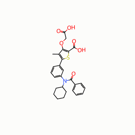 Cc1c(-c2cccc(N(C(=O)c3ccccc3)C3CCCCC3)c2)sc(C(=O)O)c1OCC(=O)O